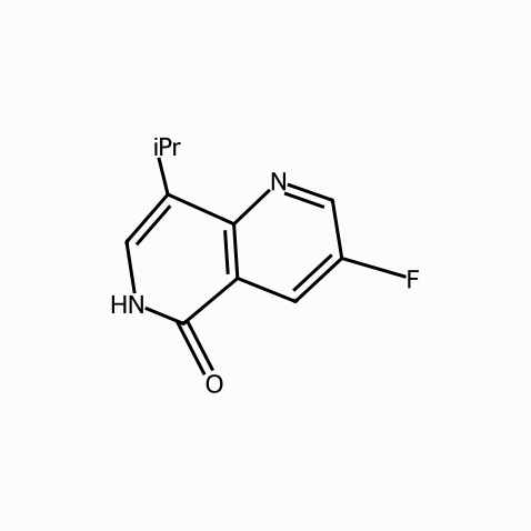 CC(C)c1c[nH]c(=O)c2cc(F)cnc12